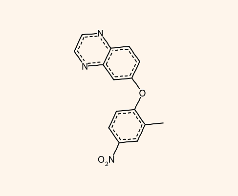 Cc1cc([N+](=O)[O-])ccc1Oc1ccc2nccnc2c1